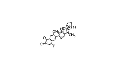 CCn1cc(F)c2cc(-c3ncc(N(C)[C@H]4C[C@@H]5CCC([C@H]4F)N5C(=O)O)nn3)c(O)cc2c1=O